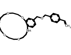 C=Cc1ccc(COCc2ccc3c(c2)OCCOCCOCCOCCOCCN3)cc1